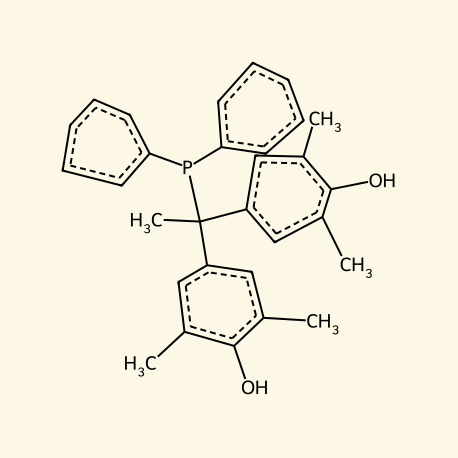 Cc1cc(C(C)(c2cc(C)c(O)c(C)c2)P(c2ccccc2)c2ccccc2)cc(C)c1O